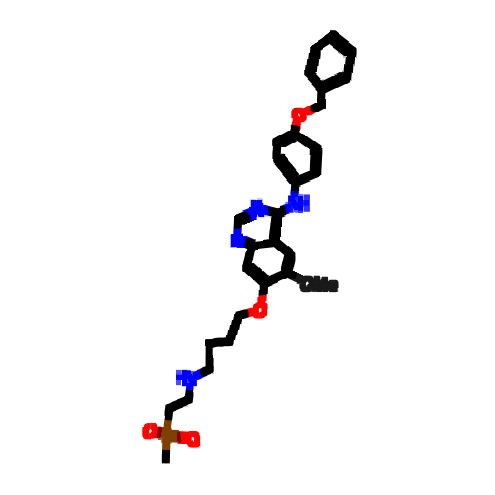 COc1cc2c(Nc3ccc(OCc4ccccc4)cc3)ncnc2cc1OCCCCNCCS(C)(=O)=O